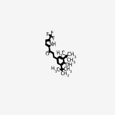 CC(C)(C)c1cc(CCC(=O)c2ccc(C(F)(F)F)[nH]2)cc(C(C)(C)C)c1O